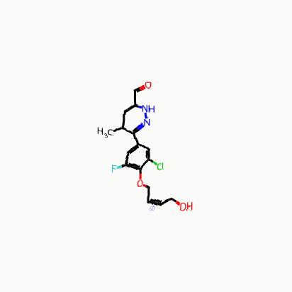 CC1CC(C=O)NN=C1c1cc(F)c(OC/C=C\CO)c(Cl)c1